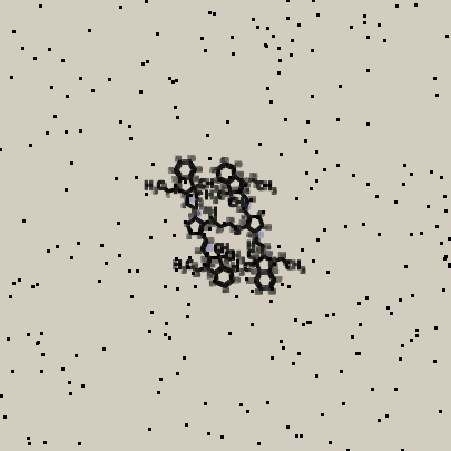 CCN1/C(=C/C=C2\CCC(/C=C/C3=[N+](CC)c4ccccc4C3(C)C)=C2NCCSC2=C(/C=C/C3=[N+](CC)c4ccccc4C3(C)C)CC/C2=C\C=C2\N(CC)c3ccccc3C2(C)C)C(C)(C)c2ccccc21